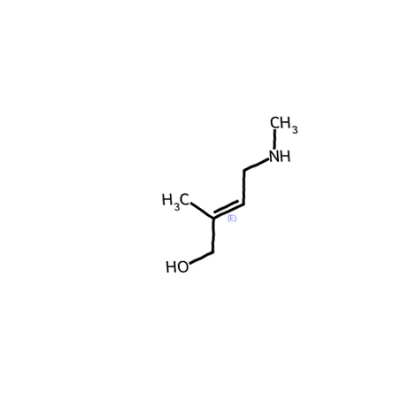 CNC/C=C(\C)CO